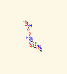 Cn1c(=O)c(-c2c(F)ccc(NS(=O)(=O)N3CC[C@@H](F)C3)c2F)cc2cnc(NCCOCCOCCNC(=O)OC(C)(C)C)nc21